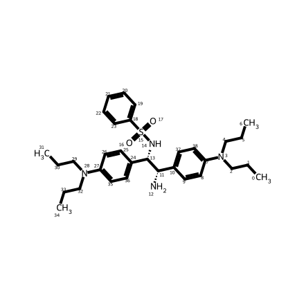 CCCN(CCC)c1ccc([C@H](N)[C@@H](NS(=O)(=O)c2ccccc2)c2ccc(N(CCC)CCC)cc2)cc1